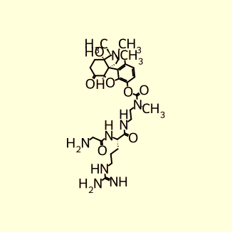 Cc1ccc(OC(=O)N(C)CCNC(=O)[C@H](CCCNC(=N)N)NC(=O)CN)c2c1[C@]13CCN(C)[C@H](C)[C@]1(O)CCC(=O)[C@@H]3O2